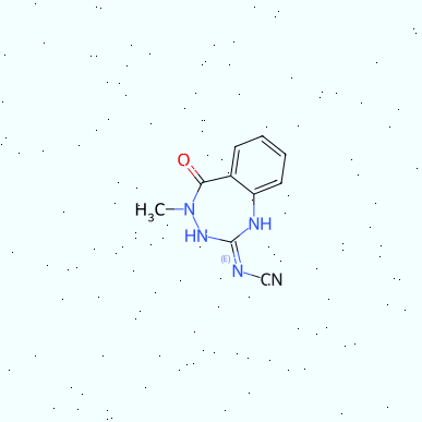 CN1N/C(=N/C#N)Nc2ccccc2C1=O